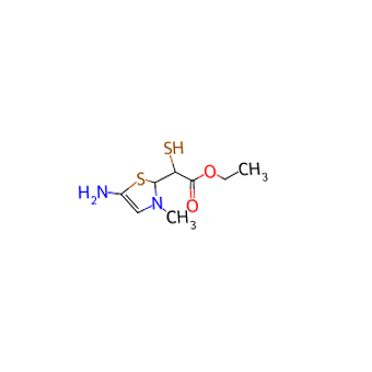 CCOC(=O)C(S)C1SC(N)=CN1C